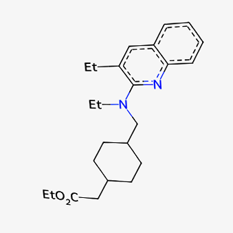 CCOC(=O)CC1CCC(CN(CC)c2nc3ccccc3cc2CC)CC1